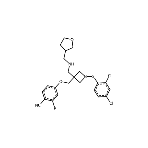 N#Cc1ccc(OCC2(CNCC3CCOC3)CN(Sc3ccc(Cl)cc3Cl)C2)cc1F